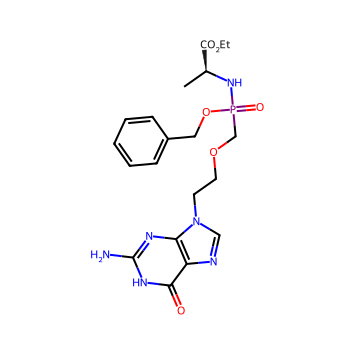 CCOC(=O)[C@H](C)NP(=O)(COCCn1cnc2c(=O)[nH]c(N)nc21)OCc1ccccc1